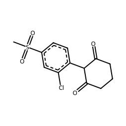 CS(=O)(=O)c1ccc(C2C(=O)CCCC2=O)c(Cl)c1